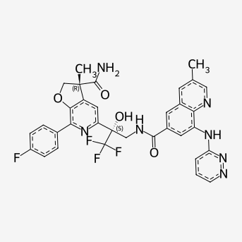 Cc1cnc2c(Nc3cccnn3)cc(C(=O)NC[C@](O)(c3cc4c(c(-c5ccc(F)cc5)n3)OC[C@]4(C)C(N)=O)C(F)(F)F)cc2c1